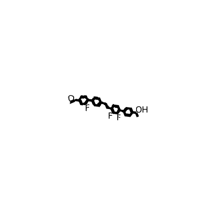 CC(O)c1ccc(-c2ccc(/C=C/c3ccc(-c4ccc(C5CO5)cc4F)cc3)c(F)c2F)cc1